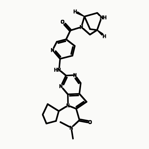 CN(C)C(=O)c1cc2cnc(Nc3ccc(C(=O)N4C[C@@H]5C[C@H]4CN5)cn3)nc2n1C1CCCC1